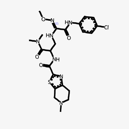 CO/N=C(\NCC(NC(=O)c1nc2c(s1)CN(C)CC2)C(=O)N(C)C)C(=O)Nc1ccc(Cl)cc1